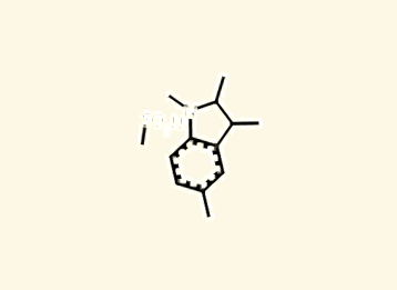 CS(=O)(=O)O.Cc1ccc2c(c1)C(C)C(C)N2C